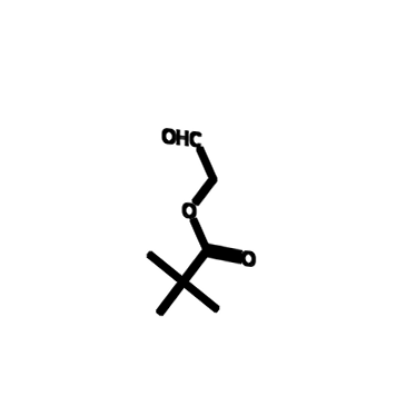 CC(C)(C)C(=O)OCC=O